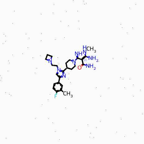 CN/C(N)=C(\C(=N)N1CCC(c2nc(-c3ccc(F)c(C)c3)cn2CCN2CCC2)CC1)C(N)=O